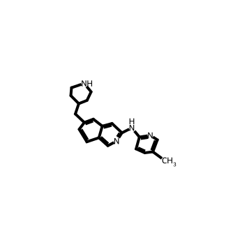 Cc1ccc(Nc2cc3cc(CC4CCNCC4)ccc3cn2)nc1